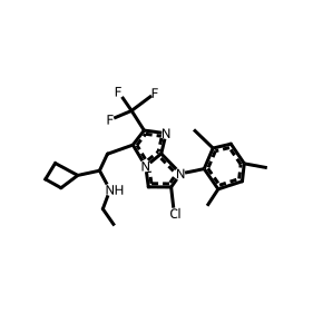 CCNC(Cc1c(C(F)(F)F)nc2n(-c3c(C)cc(C)cc3C)c(Cl)cn12)C1CCC1